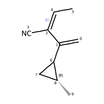 C=C(/C(C#N)=C\C)C1C[C@H]1C